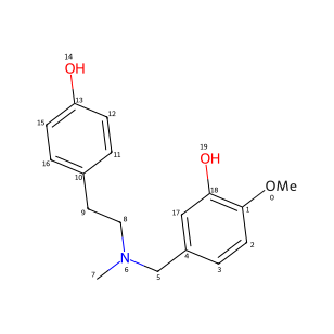 COc1ccc(CN(C)CCc2ccc(O)cc2)cc1O